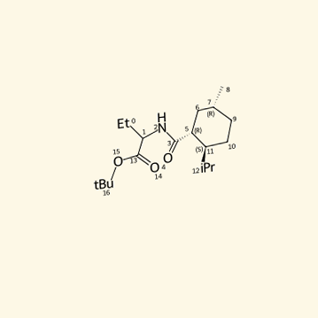 CCC(NC(=O)[C@@H]1C[C@H](C)CC[C@H]1C(C)C)C(=O)OC(C)(C)C